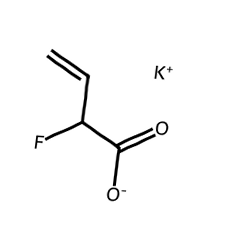 C=CC(F)C(=O)[O-].[K+]